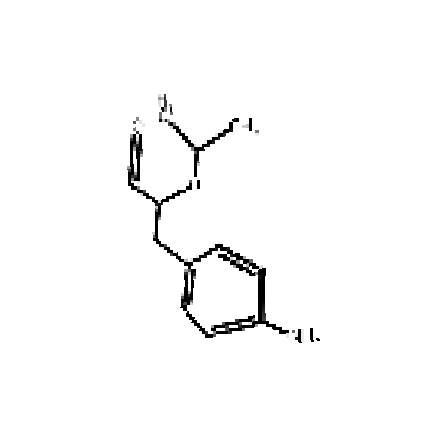 CC(C)OC(C=O)Cc1ccc(N)cc1